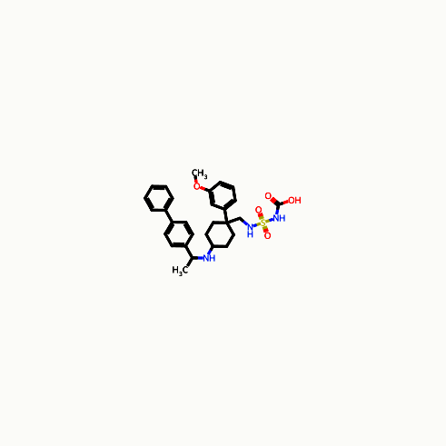 COc1cccc(C2(CNS(=O)(=O)NC(=O)O)CCC(NC(C)c3ccc(-c4ccccc4)cc3)CC2)c1